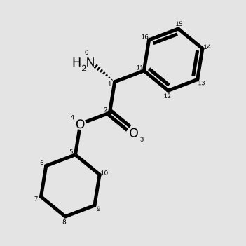 N[C@@H](C(=O)OC1CCCCC1)c1ccccc1